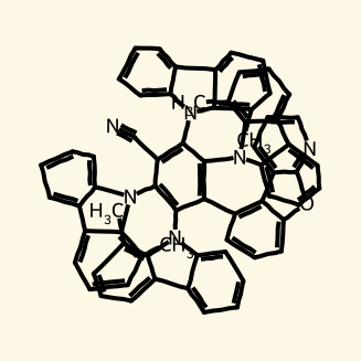 Cc1cccc2c3ccccc3n(-c3c(C#N)c(-n4c5ccccc5c5cccc(C)c54)c(-n4c5ccccc5c5cccc(C)c54)c(-c4cccc5oc6ncccc6c45)c3-n3c4ccccc4c4cccc(C)c43)c12